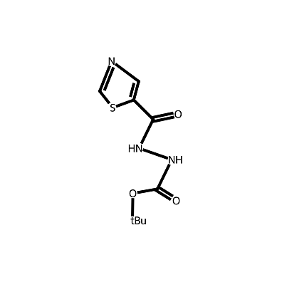 CC(C)(C)OC(=O)NNC(=O)c1cncs1